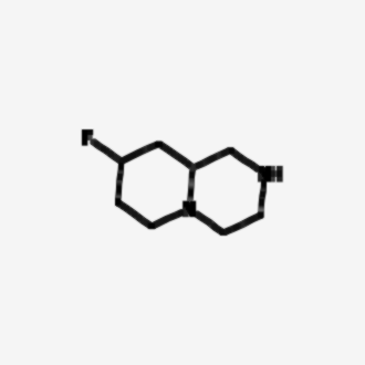 FC1CCN2CCNCC2C1